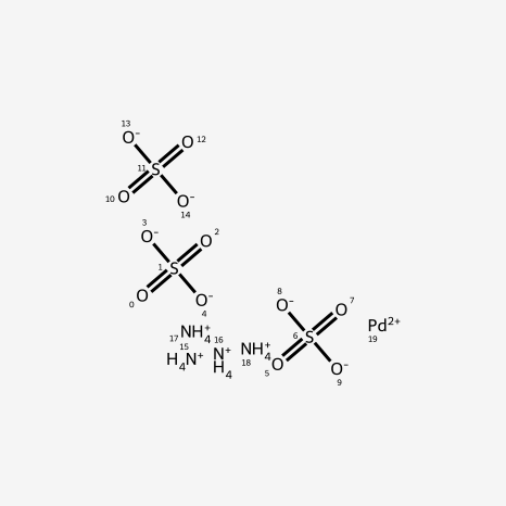 O=S(=O)([O-])[O-].O=S(=O)([O-])[O-].O=S(=O)([O-])[O-].[NH4+].[NH4+].[NH4+].[NH4+].[Pd+2]